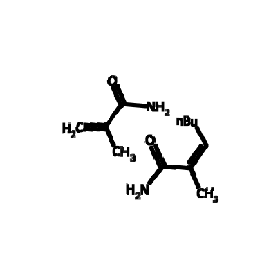 C=C(C)C(N)=O.CCCCC=C(C)C(N)=O